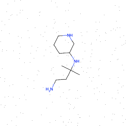 CC(C)(CCN)NC1CCCNC1